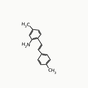 Cc1ccc(C=Cc2ccc(C)cc2N)cc1